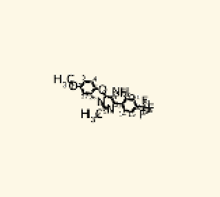 COc1ccc(Oc2nc(C)nc(-c3ccc(C(F)(F)F)cc3F)c2N)cc1